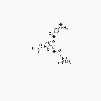 Cl.N=C(N)NCCCC(=O)NCCC[C@H]1C(=O)N(CC(=O)O)CCN1C(=O)CNC(=O)c1ccc(C(=N)N)cc1